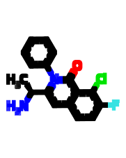 C[C@H](N)c1cc2ccc(F)c(Cl)c2c(=O)n1-c1ccccc1